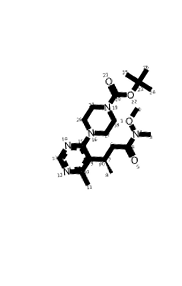 CON(C)C(=O)C[C@@H](C)c1c(C)ncnc1N1CCN(C(=O)OC(C)(C)C)CC1